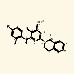 Cc1cc(F)ccc1Nc1nc(N2CCc3ccccc3[C@H]2C)nc(C)c1C.Cl